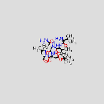 CC(C)C[C@@H]([C]=O)NC(=O)[C@H](CC(=O)OC(C)(C)C)NC(=O)[C@H](CC(N)=O)NC(=O)[C@@H](NC(=O)[C@@H](N)C(C)C)C(C)C